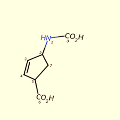 O=C(O)NC1C=CC(C(=O)O)C1